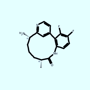 C[C@@H]1CCC[C@H](N)c2cc(ccn2)-c2c(ccc(F)c2F)NC1=O